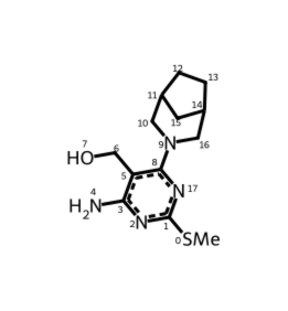 CSc1nc(N)c(CO)c(N2CC3CCC(C3)C2)n1